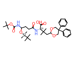 CC(C)(C)OC(=O)NC(CCC(=O)N[C@H](C(=O)O)C(C)(C)CC1OCC(c2ccccc2)(c2ccccc2)CO1)O[Si](C)(C)C(C)(C)C